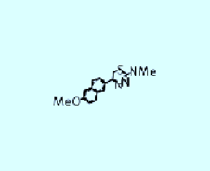 CNC1=NN=C(c2ccc3cc(OC)ccc3c2)CS1